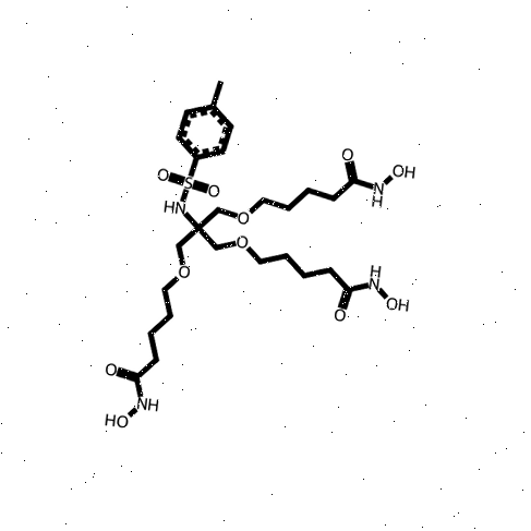 Cc1ccc(S(=O)(=O)NC(COCCCCC(=O)NO)(COCCCCC(=O)NO)COCCCCC(=O)NO)cc1